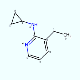 CCc1cccnc1NC1CC1